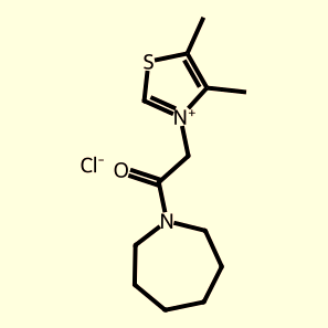 Cc1sc[n+](CC(=O)N2CCCCCC2)c1C.[Cl-]